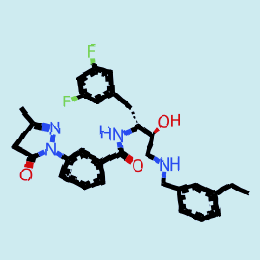 CCc1cccc(CNC[C@H](O)[C@@H](Cc2cc(F)cc(F)c2)NC(=O)c2cccc(N3N=C(C)CC3=O)c2)c1